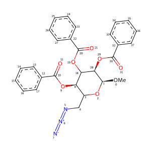 CO[C@H]1OC(CN=[N+]=[N-])[C@@H](OC(=O)c2ccccc2)C(OC(=O)c2ccccc2)[C@H]1OC(=O)c1ccccc1